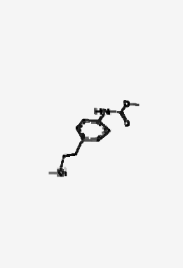 CNCCc1ccc(NC(=O)OC)cc1